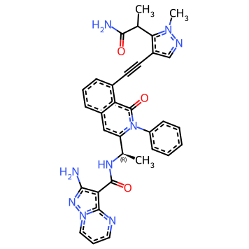 CC(C(N)=O)c1c(C#Cc2cccc3cc([C@@H](C)NC(=O)c4c(N)nn5cccnc45)n(-c4ccccc4)c(=O)c23)cnn1C